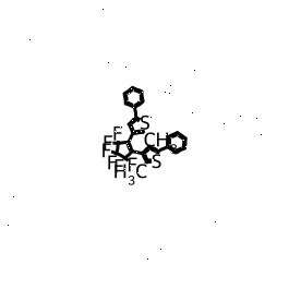 Cc1sc(-c2ccccc2)cc1C1=C(c2cc(-c3ccccc3)sc2C)C(F)(F)C(F)(F)C1(F)F